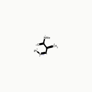 C=C(/C=N\C(C)C)C(=O)NC